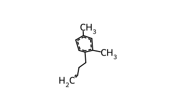 C=CCCc1ccc(C)cc1C